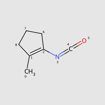 CC1=C(N=C=O)CCC1